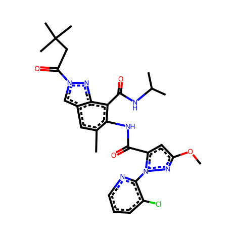 COc1cc(C(=O)Nc2c(C)cc3cn(C(=O)CC(C)(C)C)nc3c2C(=O)NC(C)C)n(-c2ncccc2Cl)n1